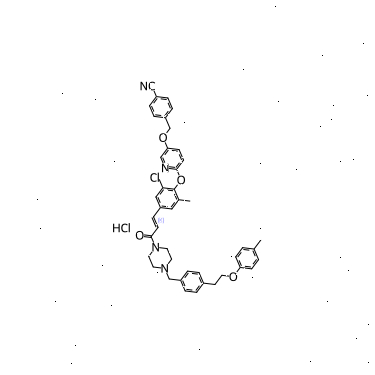 Cc1ccc(OCCc2ccc(CN3CCN(C(=O)/C=C/c4cc(C)c(Oc5ccc(OCc6ccc(C#N)cc6)cn5)c(Cl)c4)CC3)cc2)cc1.Cl